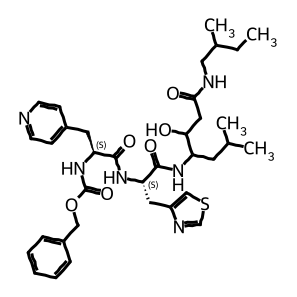 CCC(C)CNC(=O)CC(O)C(CC(C)C)NC(=O)[C@H](Cc1cscn1)NC(=O)[C@H](Cc1ccncc1)NC(=O)OCc1ccccc1